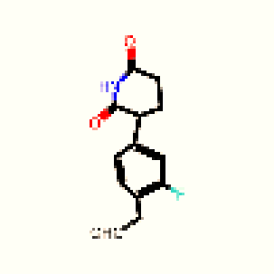 O=CCc1ccc(C2CCC(=O)NC2=O)cc1F